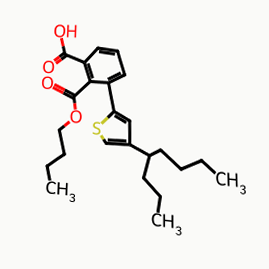 CCCCOC(=O)c1c(C(=O)O)cccc1-c1cc(C(CCC)CCCC)cs1